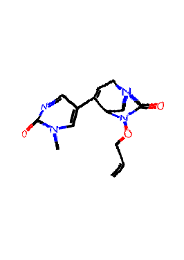 C=CCON1C(=O)N2CC=C(c3cnc(=O)n(C)c3)C1C2